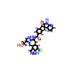 CC(C)(O)c1cnc2n1Cc1c(cc(Cl)c3[nH]ncc13)C[C@H]2NC(=O)c1ccc2c(c1)CC1(C2)C(=O)Nc2ncccc21